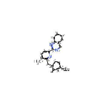 Cc1ccc(-c2ncc3ccccc3n2)nc1Cc1ccc(C(C)(C)C)cc1